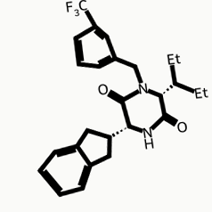 CCC(CC)[C@@H]1C(=O)N[C@H](C2Cc3ccccc3C2)C(=O)N1Cc1cccc(C(F)(F)F)c1